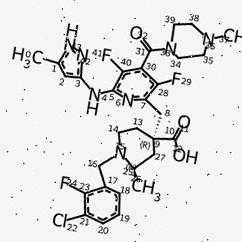 Cc1cc(Nc2nc(C[C@@]3(C(=O)O)CCN(Cc4cccc(Cl)c4F)[C@H](C)C3)c(F)c(C(=O)N3CCN(C)CC3)c2F)n[nH]1